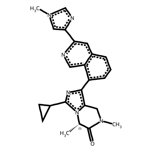 C[C@H]1C(=O)N(C)Cc2c(-c3cccc4cc(-c5cn(C)cn5)ncc34)nc(C3CC3)n21